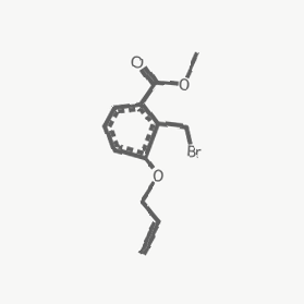 C=CCOc1cccc(C(=O)OC)c1CBr